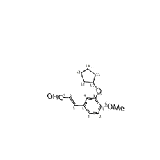 COc1ccc(C=CC=O)cc1OC1CCCC1